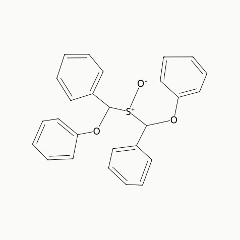 [O-][S+](C(Oc1ccccc1)c1ccccc1)C(Oc1ccccc1)c1ccccc1